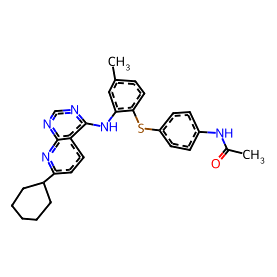 CC(=O)Nc1ccc(Sc2ccc(C)cc2Nc2ncnc3nc(C4CCCCC4)ccc23)cc1